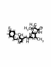 Cc1nc(NCc2cnn(Cc3ccc(F)cc3)c2C)nc2c1NC(=O)[C@H](C)N2C